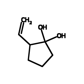 C=CC1CCCC1(O)O